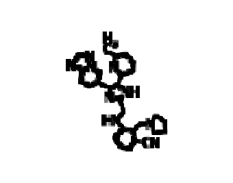 Cc1cccc(-c2[nH]c(CNc3cccc(C#N)c3CN3CCCC3)nc2-c2ccc3ncnn3c2)n1